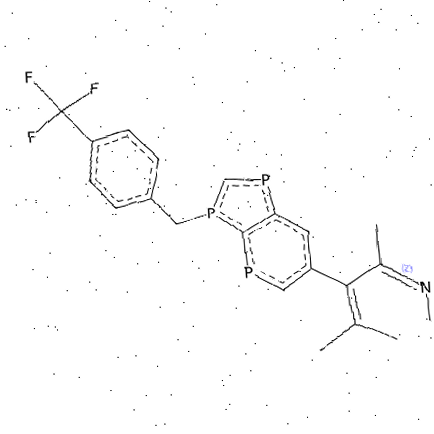 C/N=C(/C)C(=C(C)C)c1cpc2c(c1)pcp2Cc1ccc(C(F)(F)F)cc1